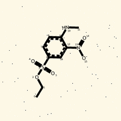 CCOS(=O)(=O)c1ccc(NC)c([N+](=O)[O-])c1